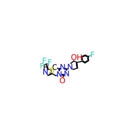 Cc1nc(N2CC=C(c3ccc(F)cc3)[C@@H](O)C2)nc(=O)n1Cc1cnc(C(F)(F)F)s1